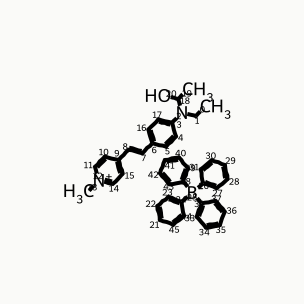 CCN(c1ccc(/C=C/c2cc[n+](C)cc2)cc1)C(C)O.c1ccc([B-](c2ccccc2)(c2ccccc2)c2ccccc2)cc1